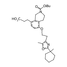 Cc1oc(C2(C)CCCCC2)nc1CCOc1ccc(CCC(=O)O)c2c1CCN(C(=O)OCC(C)C)C2